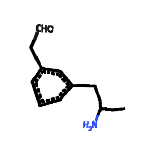 CC(N)Cc1cccc(CC=O)c1